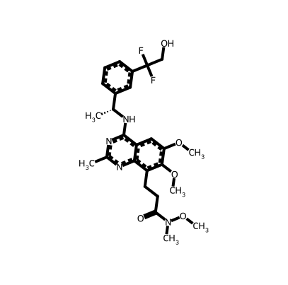 COc1cc2c(N[C@H](C)c3cccc(C(F)(F)CO)c3)nc(C)nc2c(CCC(=O)N(C)OC)c1OC